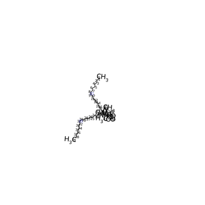 CCCCCCCC/C=C\CCCCCCCCC1=[N+](NC(=O)CCCCCCC/C=C\CCCCCCCC)C(CC)CN1C.COS(=O)(=O)[O-]